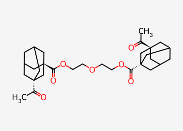 CC(=O)[C@]12CC3CC(C1)C[C@@](C(=O)OCCOCCOC(=O)[C@]14CC5CC(C[C@](C(C)=O)(C5)C1)C4)(C3)C2